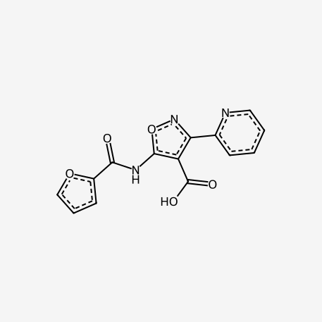 O=C(Nc1onc(-c2ccccn2)c1C(=O)O)c1ccco1